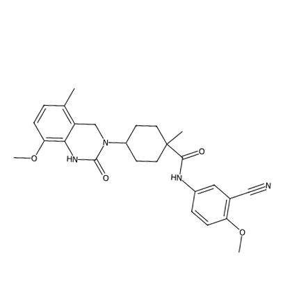 COc1ccc(NC(=O)C2(C)CCC(N3Cc4c(C)ccc(OC)c4NC3=O)CC2)cc1C#N